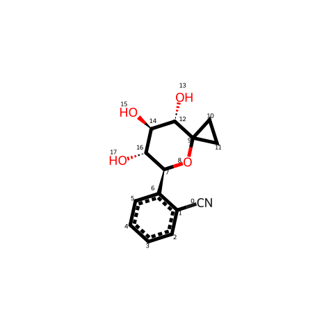 N#Cc1ccccc1[C@@H]1OC2(CC2)[C@@H](O)[C@H](O)[C@H]1O